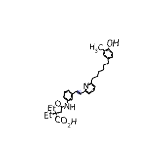 CCC(CC)(CC(=O)Nc1cccc(/C=C/c2cccc(CCCCCCc3ccc(O)c(C)c3)n2)c1)C(=O)O